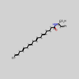 CCC=CCC=CCC=CCC=CCC=CCCCC(=O)N[C@@H](CC(C)C)C(=O)O